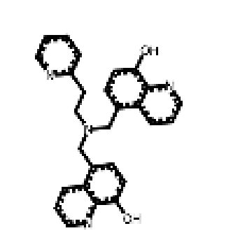 Oc1ccc(CN(CCc2ccccn2)Cc2ccc(O)c3ncccc23)c2cccnc12